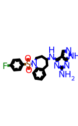 Nc1nc(NC2CCN(S(=O)(=O)c3ccc(F)cc3)c3ccccc3C2)c2cn[nH]c2n1